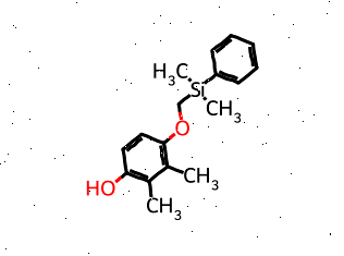 Cc1c(O)ccc(OC[Si](C)(C)c2ccccc2)c1C